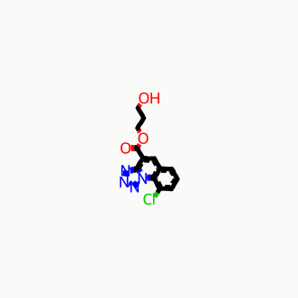 O=C(OCCCO)c1cc2cccc(Cl)c2n2nnnc12